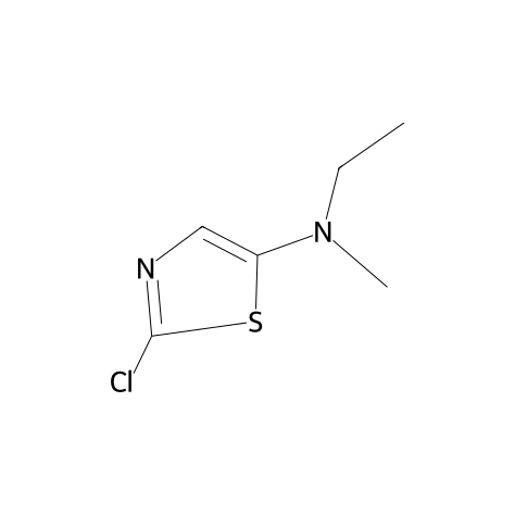 CCN(C)c1cnc(Cl)s1